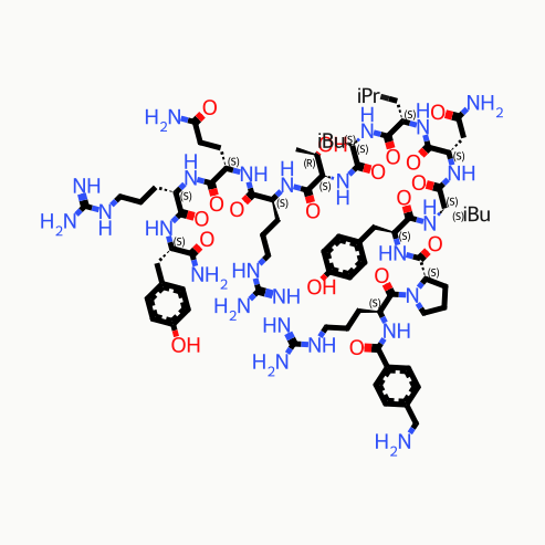 CC[C@H](C)[C@H](NC(=O)[C@H](Cc1ccc(O)cc1)NC(=O)[C@@H]1CCCN1C(=O)[C@H](CCCNC(=N)N)NC(=O)c1ccc(CN)cc1)C(=O)N[C@@H](CC(N)=O)C(=O)N[C@@H](CC(C)C)C(=O)N[C@H](C(=O)N[C@H](C(=O)N[C@@H](CCCNC(=N)N)C(=O)N[C@@H](CCC(N)=O)C(=O)N[C@@H](CCCNC(=N)N)C(=O)N[C@@H](Cc1ccc(O)cc1)C(N)=O)[C@@H](C)O)[C@@H](C)CC